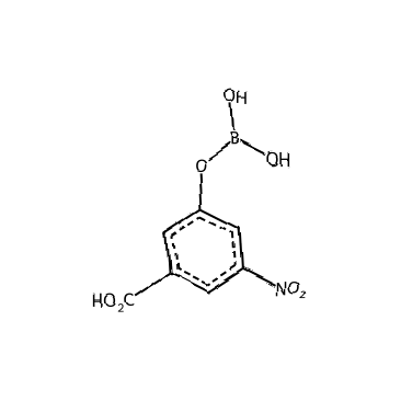 O=C(O)c1cc(OB(O)O)cc([N+](=O)[O-])c1